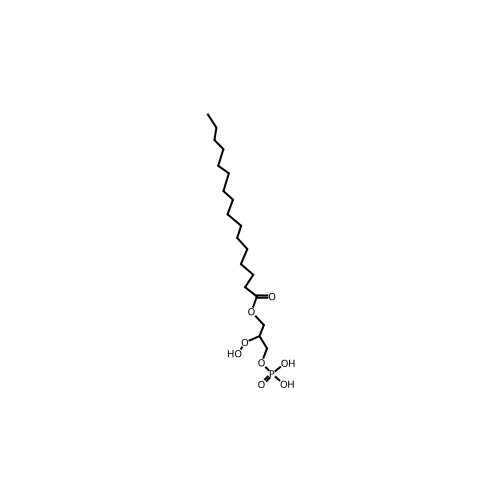 CCCCCCCCCCCCCCCC(=O)OCC(COP(=O)(O)O)OO